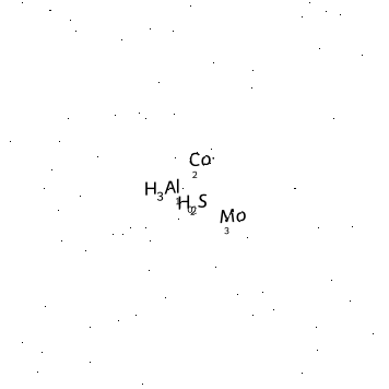 S.[AlH3].[Co].[Mo]